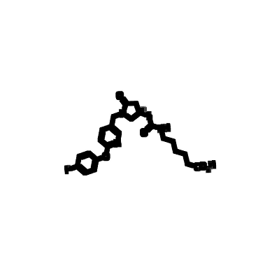 O=C(O)CCCCCNC(=O)S[C@@H]1CC(=O)N(Cc2ccc(Oc3ccc(F)cc3)nc2)C1